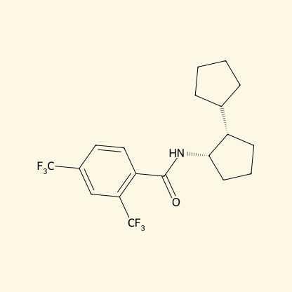 O=C(N[C@H]1CCC[C@H]1C1CCCC1)c1ccc(C(F)(F)F)cc1C(F)(F)F